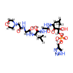 COP(=O)(OCc1c[nH]nn1)OC[C@@](C)(O)C(=O)[C@H](CC(C)C)NC(=O)CNC(=O)[C@H](CC(C)C)NC(=O)CNC(=O)CN1CCOCC1